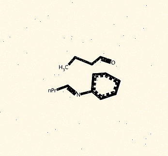 CCCC=Nc1ccccc1.CCCC=O